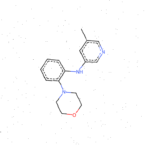 Cc1cncc(Nc2ccccc2N2CCOCC2)c1